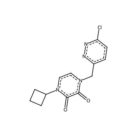 O=c1c(=O)n(C2CCC2)ccn1Cc1ccc(Cl)nn1